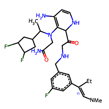 CC/C(=C\NC)c1cc(F)cc(CNCC(=O)C2NC=CC(N)=C2N(CC(N)=O)C(C)C2CC(F)C(F)C2)c1